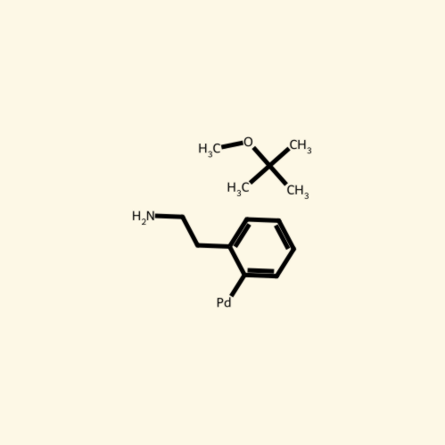 COC(C)(C)C.NCCc1cccc[c]1[Pd]